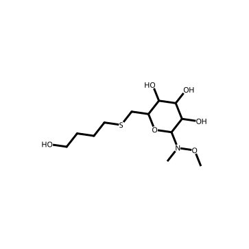 CON(C)C1OC(CSCCCCO)C(O)C(O)C1O